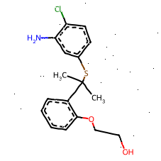 CC(C)(Sc1ccc(Cl)c(N)c1)c1ccccc1OCCO